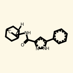 O=C(N[C@H]1CC2CCC1CC2)c1cc(-c2ccccc2)[nH]n1